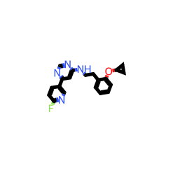 Fc1ccc(-c2cc(NCCc3ccccc3OC3CC3)ncn2)cn1